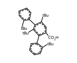 CC(C)(C)c1ccccc1-c1c(C(=O)O)cc(C(C)(C)C)c(-c2ccccc2C(C)(C)C)c1C(C)(C)C